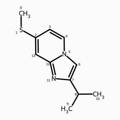 CSc1ccn2cc(C(C)C)nc2c1